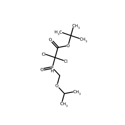 CC(C)OC[PH](=O)C(Cl)(Cl)C(=O)OC(C)(C)C